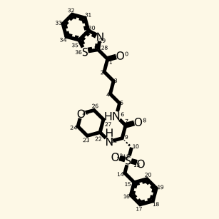 O=C(CCCCNC(=O)[C@H](CS(=O)(=O)Cc1ccccc1)NC1CCOCC1)c1nc2ccccc2s1